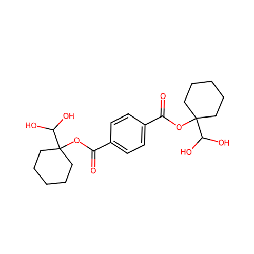 O=C(OC1(C(O)O)CCCCC1)c1ccc(C(=O)OC2(C(O)O)CCCCC2)cc1